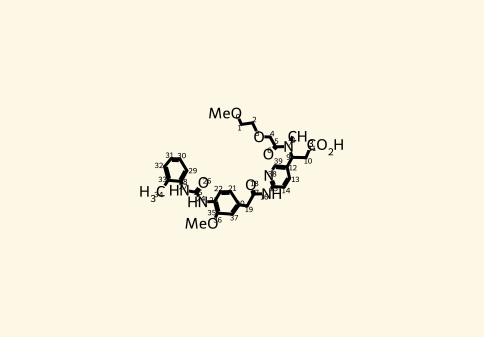 COCCOCC(=O)N(C)C(CC(=O)O)c1ccc(NC(=O)Cc2ccc(NC(=O)Nc3ccccc3C)c(OC)c2)nc1